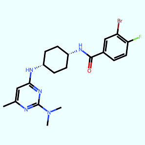 Cc1cc(N[C@H]2CC[C@@H](NC(=O)c3ccc(F)c(Br)c3)CC2)nc(N(C)C)n1